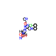 CN1CCCC1COc1nc2c(c(N3C[C@H]4CC(CC#N)[C@@H](C3)N4C(=O)O)n1)CCN(c1cccc3cccc(Cl)c13)C2